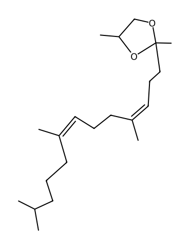 CC(=CCCC1(C)OCC(C)O1)CCC=C(C)CCCC(C)C